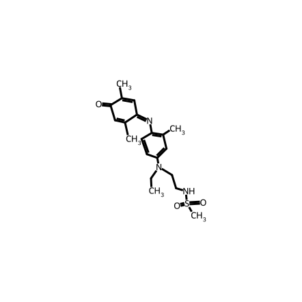 CCN(CCNS(C)(=O)=O)c1ccc(N=C2C=C(C)C(=O)C=C2C)c(C)c1